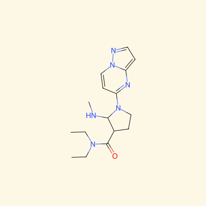 CCN(CC)C(=O)C1CCN(c2ccn3nccc3n2)C1NC